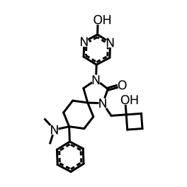 CN(C)C1(c2ccccc2)CCC2(CC1)CN(c1cnc(O)nc1)C(=O)N2CC1(O)CCC1